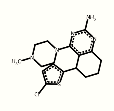 CN1CCN(c2nc(N)nc3c2C(c2ccc(Cl)s2)CCC3)CC1